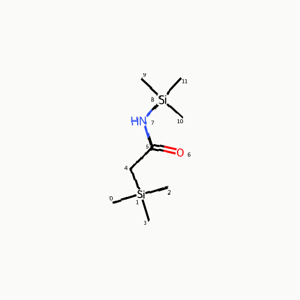 C[Si](C)(C)CC(=O)N[Si](C)(C)C